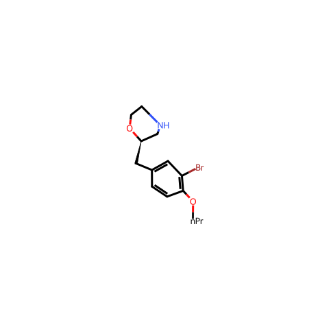 CCCOc1ccc(C[C@@H]2CNCCO2)cc1Br